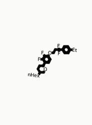 CCCCCCC1CCC(c2ccc(OCCC(F)(F)c3ccc(CC)cc3)c(F)c2F)OC1